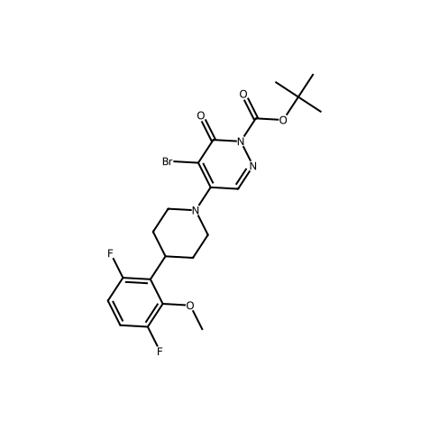 COc1c(F)ccc(F)c1C1CCN(c2cnn(C(=O)OC(C)(C)C)c(=O)c2Br)CC1